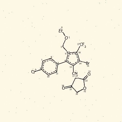 CCOCn1c(-c2ccc(Cl)cc2)c(C#N)c(Br)c1C(F)(F)F.O=C1COC(=O)C1